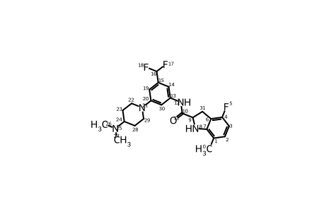 Cc1ccc(F)c2c1NC(C(=O)Nc1cc(C(F)F)cc(N3CCC(N(C)C)CC3)c1)C2